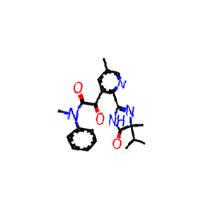 Cc1cnc(C2=NC(C)(C(C)C)C(=O)N2)c(C(=O)C(=O)N(C)c2ccccc2)c1